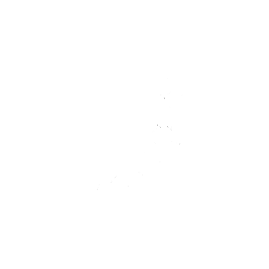 COc1ccc(Cn2ncc3cc(S(=O)(=O)c4csc(C(=O)O)c4)ccc3c2=O)cn1